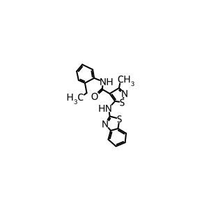 CCc1ccccc1NC(=O)c1c(C)nsc1Nc1nc2ccccc2s1